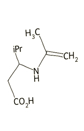 C=C(C)NC(CC(=O)O)C(C)C